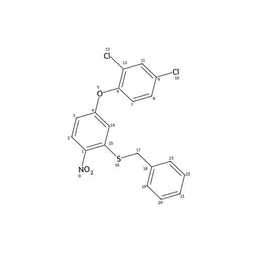 O=[N+]([O-])c1ccc(Oc2ccc(Cl)cc2Cl)cc1SCc1ccccc1